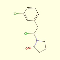 O=C1CCCN1C(Cl)Cc1cccc(Cl)c1